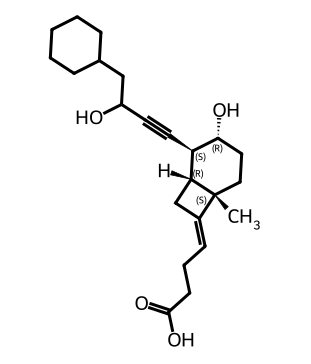 C[C@]12CC[C@@H](O)[C@H](C#CC(O)CC3CCCCC3)[C@H]1CC2=CCCC(=O)O